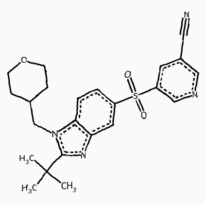 CC(C)(C)c1nc2cc(S(=O)(=O)c3cncc(C#N)c3)ccc2n1CC1CCOCC1